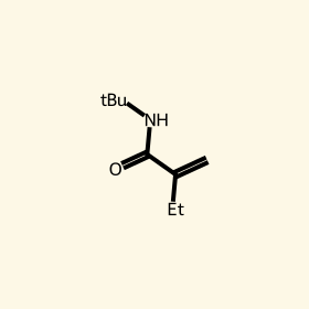 C=C(CC)C(=O)NC(C)(C)C